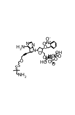 CC(C)(CN)SSCOCC#Cc1cn([C@H]2CC(OCc3ccccc3[N+](=O)[O-])[C@@H](COP(=O)(O)OP(=O)(O)OP(=O)(O)O)O2)c2ncnc(N)c12